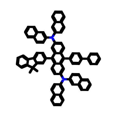 CC1(C)c2ccccc2-c2ccc(-c3c4ccc(N(c5ccc6ccccc6c5)c5ccc6ccccc6c5)cc4c(-c4ccc(-c5ccccc5)cc4)c4ccc(N(c5ccc6ccccc6c5)c5ccc6ccccc6c5)cc34)cc21